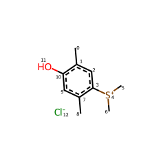 Cc1cc([S+](C)C)c(C)cc1O.[Cl-]